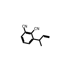 C=C[C](C)c1cccc(C#N)c1C#N